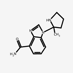 CC1(n2cnc3c(C(N)=O)cccc32)CCCN1